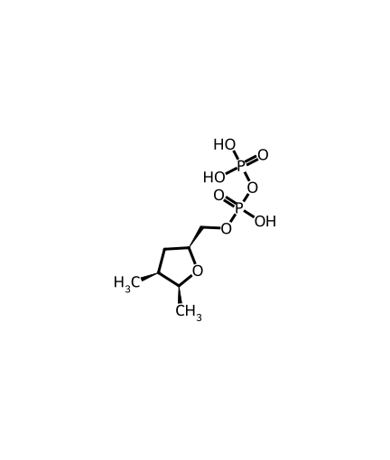 C[C@@H]1O[C@H](COP(=O)(O)OP(=O)(O)O)C[C@@H]1C